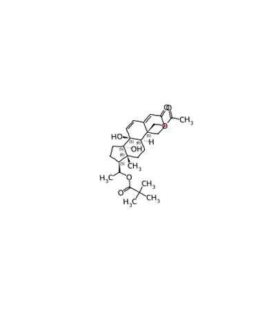 CC(=O)OC[C@]12CCC(=O)C=C1C=C[C@]1(O)[C@@H]2CC[C@]2(C)[C@@H](C(C)OC(=O)C(C)(C)C)CC[C@@]12O